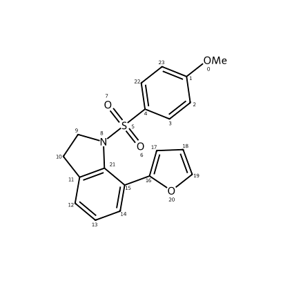 COc1ccc(S(=O)(=O)N2CCc3cccc(-c4ccco4)c32)cc1